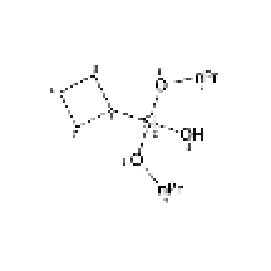 CCCO[Si](O)(OCCC)C1CCC1